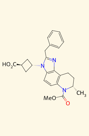 COC(=O)N1c2ccc3c(nc(Cc4ccccc4)n3[C@H]3C[C@H](C(=O)O)C3)c2CC[C@@H]1C